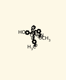 COc1ccc(OCCC(=O)N(Cc2cccc(-c3noc(C)n3)c2)[C@H](CN2CCCC2)[C@H](O)c2ccc(O)cc2)cc1